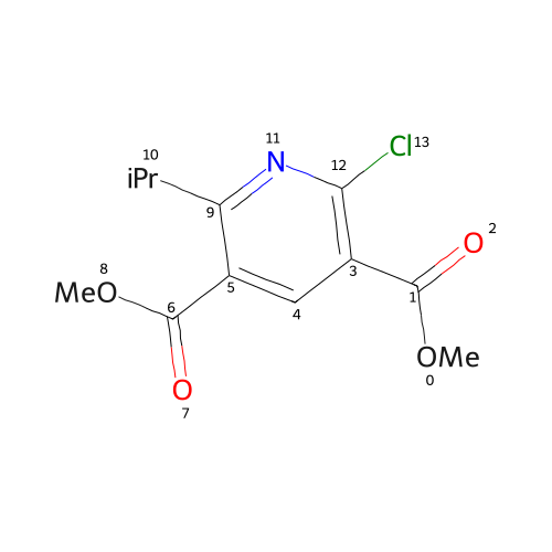 COC(=O)c1cc(C(=O)OC)c(C(C)C)nc1Cl